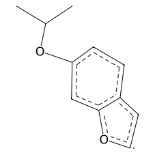 CC(C)Oc1ccc2c[c]oc2c1